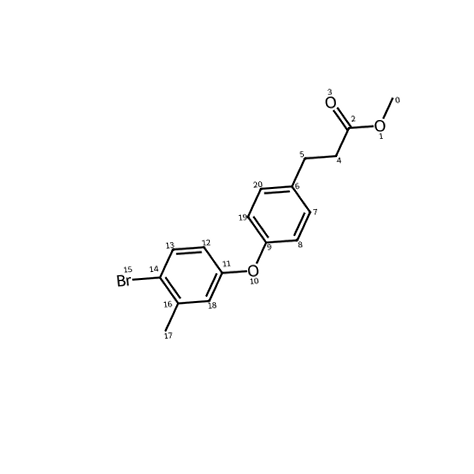 COC(=O)CCc1ccc(Oc2ccc(Br)c(C)c2)cc1